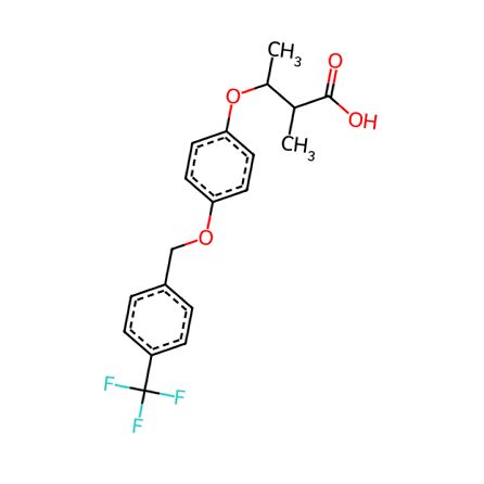 CC(Oc1ccc(OCc2ccc(C(F)(F)F)cc2)cc1)C(C)C(=O)O